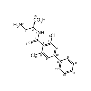 NC[C@H](NC(=O)c1c(Cl)cc(-c2ccccc2)cc1Cl)C(=O)O